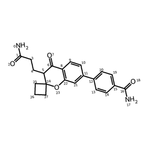 NC(=O)CCC1C(=O)c2ccc(-c3ccc(C(N)=O)cc3)cc2OC12CCC2